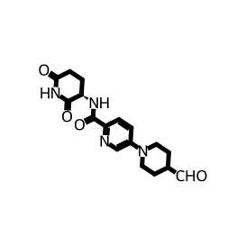 O=CC1CCN(c2ccc(C(=O)N[C@H]3CCC(=O)NC3=O)nc2)CC1